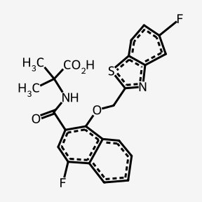 CC(C)(NC(=O)c1cc(F)c2ccccc2c1OCc1nc2cc(F)ccc2s1)C(=O)O